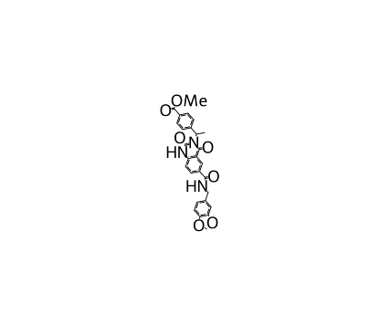 COC(=O)c1ccc(C(C)n2c(=O)[nH]c3ccc(C(=O)NCc4ccc5c(c4)OCO5)cc3c2=O)cc1